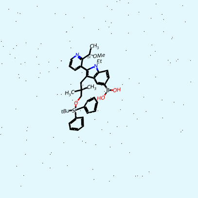 CCn1c(-c2cccnc2[C@H](C)OC)c(CC(C)(C)CO[Si](c2ccccc2)(c2ccccc2)C(C)(C)C)c2cc(B(O)O)ccc21